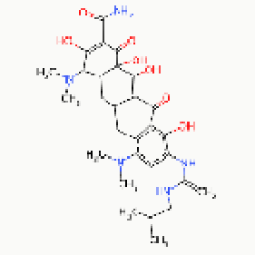 C=C(NCC(C)C)Nc1cc(N(C)C)c2c(c1O)C(=O)C1=C(O)C3(O)C(=O)C(C(N)=O)=C(O)C(N(C)C)C3CC1C2